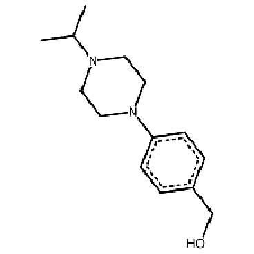 CC(C)N1CCN(c2ccc(CO)cc2)CC1